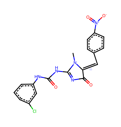 CN1C(NC(=O)Nc2cccc(Cl)c2)=NC(=O)/C1=C/c1ccc([N+](=O)[O-])cc1